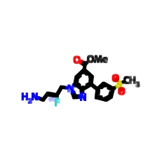 COC(=O)c1cc(-c2cccc(S(C)(=O)=O)c2)c2ncn(C/C(F)=C/CN)c2c1